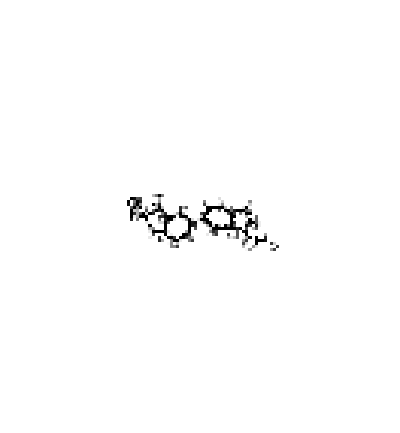 Cn1ncc2ccc(-c3ccc4c(c3)C(=O)/C(=N\O)C4)cc21